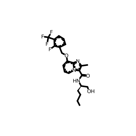 CCCC[C@H](CO)NC(=O)c1c(C)nc2c(OCc3cccc(C(F)(F)F)c3F)cccn12